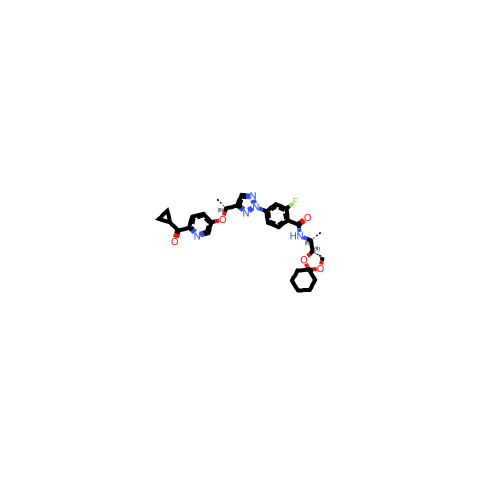 C[C@@H](Oc1ccc(C(=O)C2CC2)nc1)c1cnn(-c2ccc(C(=O)N[C@H](C)[C@@H]3COC4(CCCCC4)O3)c(F)c2)n1